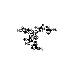 Nc1ncnc2c1ncn2[C@@H]1O[C@H](COP(=O)(OP(=O)(O)O)OP(=O)(OC[C@H]2O[C@@H](n3cnc4c(N)ncnc43)[C@H](O)[C@@H]2O)OP(=O)(O)OP(=O)(O)O)[C@@H](O)[C@H]1O